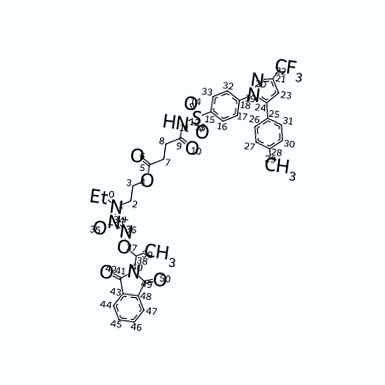 CCN(CCOC(=O)CCC(=O)NS(=O)(=O)c1ccc(-n2nc(C(F)(F)F)cc2-c2ccc(C)cc2)cc1)[N+]([O-])=NOC(C)N1C(=O)c2ccccc2C1=O